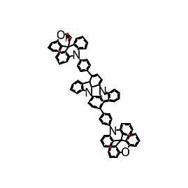 C1=C(c2ccc(N3c4ccccc4C4(c5ccccc5Oc5ccccc54)c4ccccc43)cc2)C2c3ccccc3N3c4ccc(-c5ccc(N6c7ccccc7C7(c8ccccc8Oc8ccccc87)c7ccccc76)cc5)c5c6ccccc6n(c45)C(=C1)C23